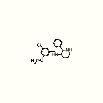 COc1cc(Cl)cc(CN[C@@H]2CCCN[C@@H]2c2ccccc2)c1